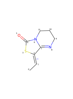 C/C=c1\sc(=O)n2c1=NCCC2